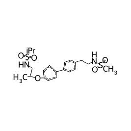 CC(CNS(=O)(=O)C(C)C)Oc1ccc(-c2ccc(CCNS(C)(=O)=O)cc2)cc1